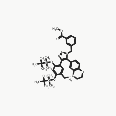 CCc1cc(-c2nnn(Cc3cccc(C(=O)OC)c3)c2-c2ccc3c(c2)OCCO3)c(O[Si](C)(C)C(C)(C)C)cc1O[Si](C)(C)C(C)(C)C